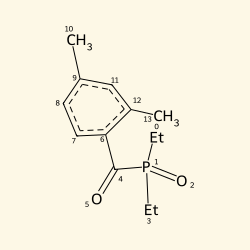 CCP(=O)(CC)C(=O)c1ccc(C)cc1C